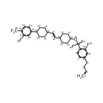 C=CCCc1ccc(C(F)(F)OC2CCC(/C=C/C3CCC(c4ccc(C(F)(F)F)c(F)c4)CC3)CC2)c(F)c1